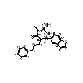 CN1C(=N)N[C@](C)(c2ccc3sccc3c2)C(CCCc2ccccc2)C1=O